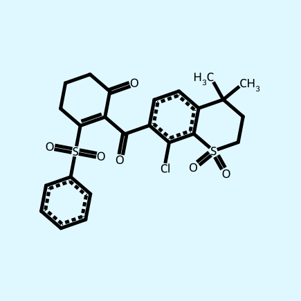 CC1(C)CCS(=O)(=O)c2c1ccc(C(=O)C1=C(S(=O)(=O)c3ccccc3)CCCC1=O)c2Cl